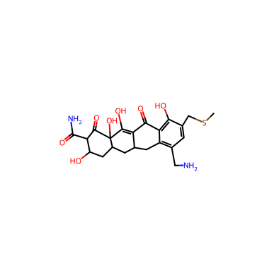 CSCc1cc(CN)c2c(c1O)C(=O)C1=C(O)C3(O)C(=O)C(C(N)=O)C(O)CC3CC1C2